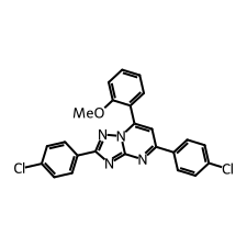 COc1ccccc1-c1cc(-c2ccc(Cl)cc2)nc2nc(-c3ccc(Cl)cc3)nn12